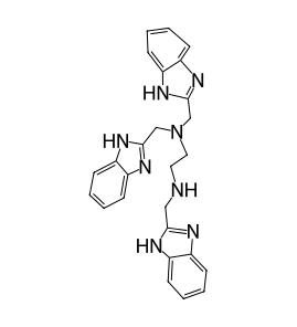 c1ccc2[nH]c(CNCCN(Cc3nc4ccccc4[nH]3)Cc3nc4ccccc4[nH]3)nc2c1